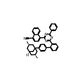 C[C@@H]1C[C@@H]2C[C@H](C)CC(c3ccc(-c4ccccc4-c4nc(-c5ccccc5)nc(-c5ccc(C#N)c6ccccc56)n4)cc3)(C1)C2